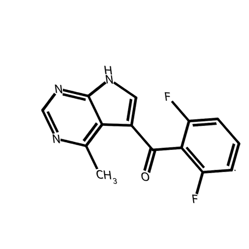 Cc1ncnc2[nH]cc(C(=O)c3c(F)[c]ccc3F)c12